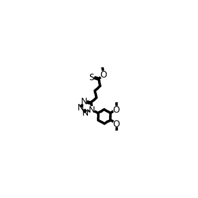 COC(=S)CCCc1nnnn1C1CCC(OC)C(OC)C1